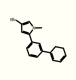 Cn1cc(C(C)(C)C)cc1-c1cccc(C2=CC=CCC2)c1